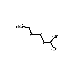 CCCCC[CH]CCC(Br)CC